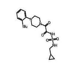 CC(C)(C)c1ccccc1N1CCN(C(=O)C(=O)NS(=O)(=O)NCC2CC2)CC1